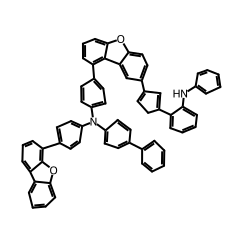 C1=C(c2ccc3oc4cccc(-c5ccc(N(c6ccc(-c7ccccc7)cc6)c6ccc(-c7cccc8c7oc7ccccc78)cc6)cc5)c4c3c2)C=C(c2ccccc2Nc2ccccc2)C1